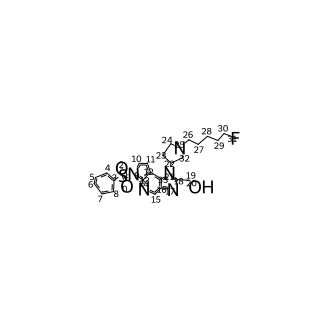 O=S(=O)(c1ccccc1)n1ccc2c1ncc1nc(CO)n(C3CCN(CCCCCF)C3)c12